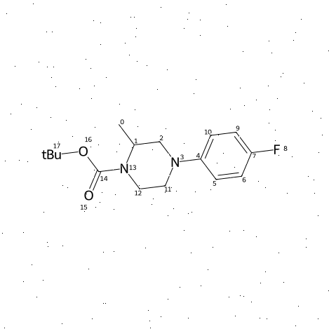 CC1CN(c2ccc(F)cc2)CCN1C(=O)OC(C)(C)C